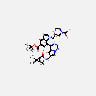 CC(C)(C)OC(=O)c1cc(-c2ncnn3cc(CN4C(=O)C5C(C4=O)C5(C)C)cc23)c2c(ccn2C[C@@H]2CN(C(=O)O)CCO2)c1